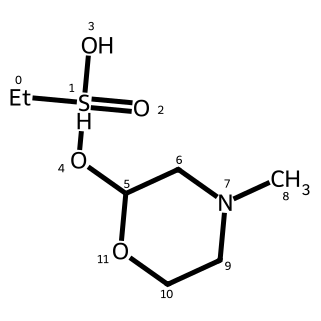 CC[SH](=O)(O)OC1CN(C)CCO1